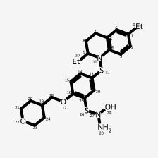 CCc1ccc2c(c1)CCC(CC)N2Sc1ccc(OCC2CCOCC2)c(SN(N)O)c1